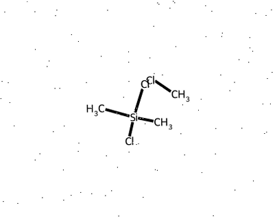 CCl.C[Si](C)(Cl)Cl